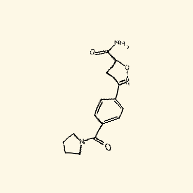 NC(=O)C1CC(c2ccc(C(=O)N3CCCC3)cc2)=NO1